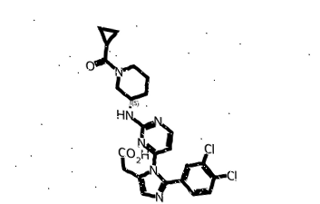 O=C(O)Cc1cnc(-c2ccc(Cl)c(Cl)c2)n1-c1ccnc(N[C@H]2CCCN(C(=O)C3CC3)C2)n1